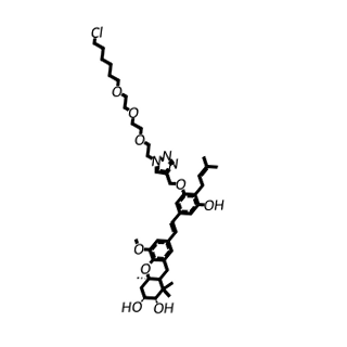 COc1cc(/C=C/c2cc(O)c(CC=C(C)C)c(OCc3cn(CCOCCOCCOCCCCCCCl)nn3)c2)cc2c1O[C@]1(C)C[C@@H](O)[C@@H](O)C(C)(C)C1C2